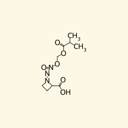 CC(C)C(=O)OCOn1on1N1CCC1C(=O)O